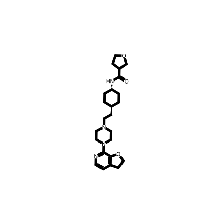 O=C(N[C@H]1CC[C@H](CCN2CCN(c3nccc4c3OCC4)CC2)CC1)C1CCOC1